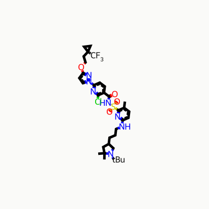 Cc1ccc(NCCCC2CN(C(C)(C)C)C(C)(C)C2)nc1S(=O)(=O)NC(=O)c1ccc(-n2ccc(OCCC3(C(F)(F)F)CC3)n2)nc1Cl